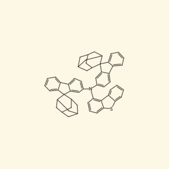 c1ccc2c(c1)-c1ccc(N(c3ccc4c(c3)C3(c5ccccc5-4)C4CC5CC(C4)CC3C5)c3cccc4sc5ccccc5c34)cc1C21C2CC3CC(C2)CC1C3